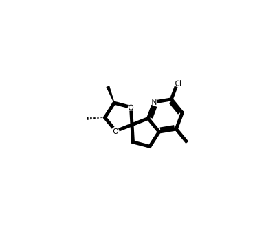 Cc1cc(Cl)nc2c1CCC21O[C@H](C)[C@@H](C)O1